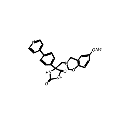 COc1ccc2c(c1)CN(CC1(c3ccc(-c4ccncc4)cc3)NC(=O)NC1=O)CO2